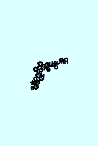 COc1nc(-c2cccc(-c3cccc(-c4ccc5c(n4)N(C)CCC5N(C[C@@H]4CCC(=O)N4)C(=O)OC(C)(C)C)c3Cl)c2Cl)cnc1COC(=O)NC[C@@H]1CCC(=O)N1